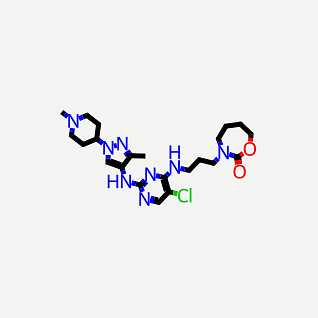 Cc1nn(C2CCN(C)CC2)cc1Nc1ncc(Cl)c(NCCCN2CCCCOC2=O)n1